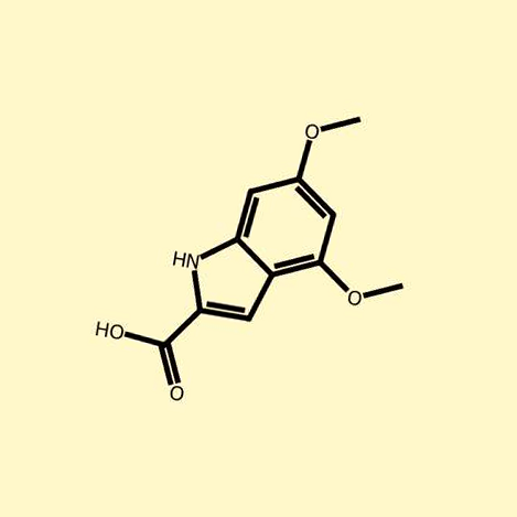 COc1cc(OC)c2cc(C(=O)O)[nH]c2c1